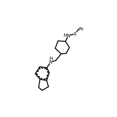 CC(C)SNC1CCC(CNc2ccc3c(c2)CCC3)CC1